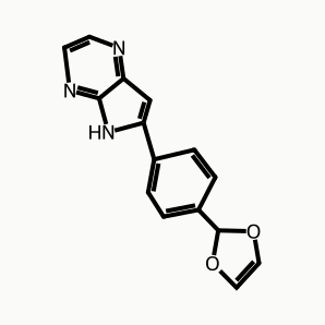 C1=COC(c2ccc(-c3cc4nccnc4[nH]3)cc2)O1